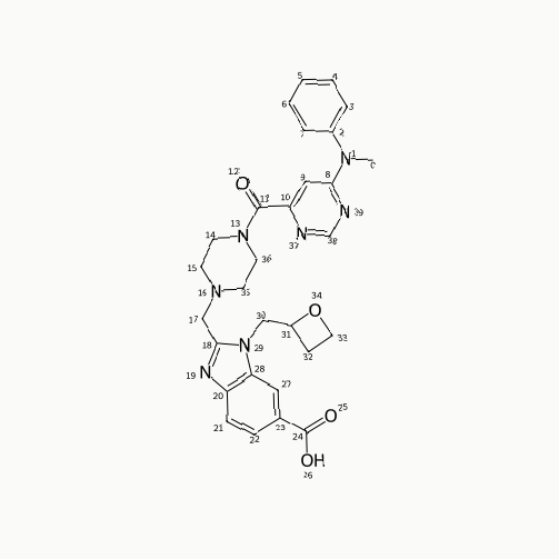 CN(c1ccccc1)c1cc(C(=O)N2CCN(Cc3nc4ccc(C(=O)O)cc4n3CC3CCO3)CC2)ncn1